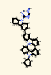 C=N/C=N\C(=N/C)n1c2ccccc2c2cc(-c3ccc4c(c3)c3ccccc3n4-c3cccc4c3c3ccccc3n4-c3ccccc3)ccc21